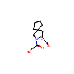 O=C[C@@H]1CC2(CCCC2)CN1C(=O)CO